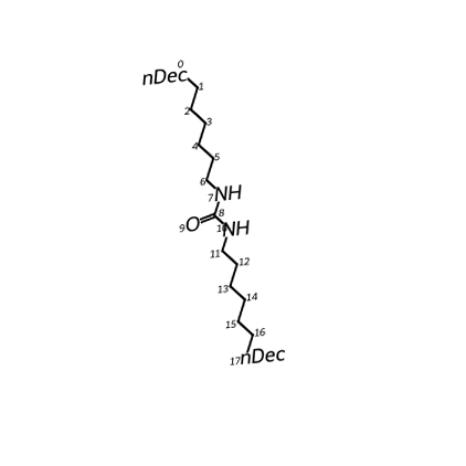 CCCCCCCCCCCCCCCCNC(=O)NCCCCCCCCCCCCCCCC